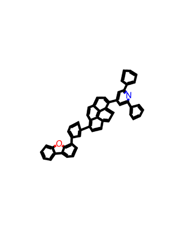 c1ccc(-c2cc(-c3ccc4ccc5c(-c6cccc(-c7cccc8c7oc7ccccc78)c6)ccc6ccc3c4c65)cc(-c3ccccc3)n2)cc1